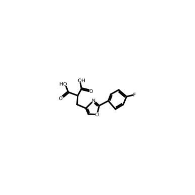 O=C(O)C(Cc1coc(-c2ccc(F)cc2)n1)C(=O)O